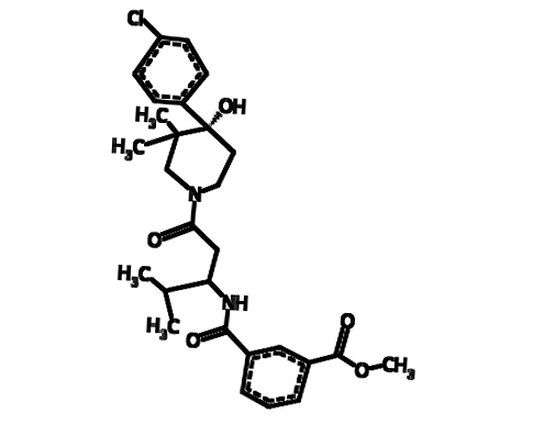 COC(=O)c1cccc(C(=O)NC(CC(=O)N2CC[C@](O)(c3ccc(Cl)cc3)C(C)(C)C2)C(C)C)c1